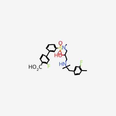 Cc1ccc(CC(C)(C)NCC(O)CN(C)S(=O)(=O)c2cccc(-c3ccc(C(=O)O)c(F)c3)c2)cc1F